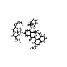 C#Cc1cccc2cc(O)cc(-c3ncc4c(N5CC6CCC(C5)N6)nc(OC[C@]56CC(=C)CN5C[C@@H](OC)C6)nc4c3F)c12